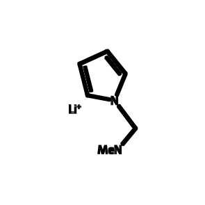 C[N-]Cn1cccc1.[Li+]